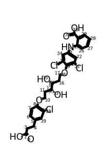 O=C(O)CCc1ccc(OCC[C@@H](O)[C@H](O)CCOc2c(Cl)cc(Nc3ccccc3C(=O)O)cc2Cl)c(Cl)c1